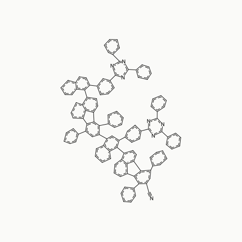 N#Cc1cc(-c2ccccc2)c2c(c1-c1ccccc1)-c1cccc3c(-c4c(-c5ccc(-c6nc(-c7ccccc7)nc(-c7ccccc7)n6)cc5)cc(-c5cc(-c6ccccc6)c6c(c5-c5ccccc5)-c5ccc(-c7c(-c8cccc(-c9nc(-c%10ccccc%10)nc(-c%10ccccc%10)n9)c8)ccc8ccccc78)c7cccc-6c57)c5ccccc45)ccc-2c13